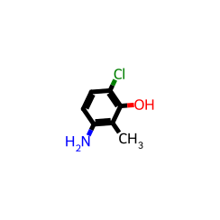 Cc1c(N)ccc(Cl)c1O